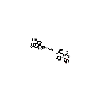 O=C(O)N(c1cccc(OCCCCCNC[C@H](O)c2ccc(O)c3[nH]c(=O)ccc23)c1)[C@@H](c1ccccc1)C1CN2CCC1CC2